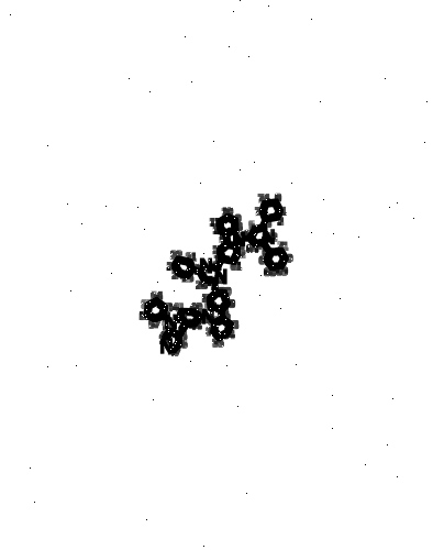 c1ccc(-c2cc(-n3c4ccccc4c4cc(-c5nc(-c6ccccc6)cc(-c6ccc7c8ccccc8n(-c8ccc9c(c8)c8ccncc8n9-c8ccccc8)c7c6)n5)ccc43)cc(-c3ccccc3)n2)cc1